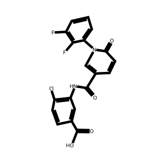 O=C(O)c1ccc(Cl)c(NC(=O)c2ccc(=O)n(-c3cccc(F)c3F)c2)c1